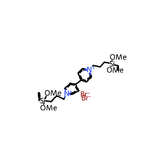 C=C[Si](CCC[n+]1ccc(-c2cc[n+](CCC[Si](C=C)(OC)OC)cc2)cc1)(OC)OC.[Br-].[Br-]